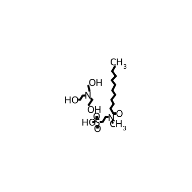 CCCCCCCCCCCC(=O)N(C)CCS(=O)(=O)O.OCCN(CCO)CCO